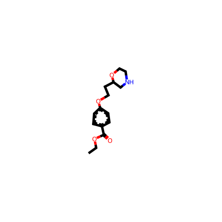 CCOC(=O)c1ccc(OCCC2CNCCO2)cc1